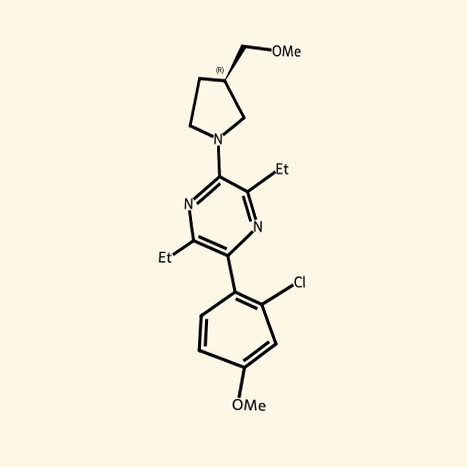 CCc1nc(N2CC[C@@H](COC)C2)c(CC)nc1-c1ccc(OC)cc1Cl